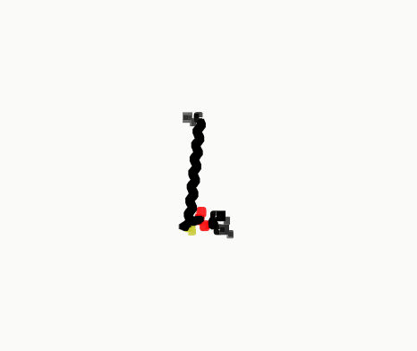 CCCCCCCCCCCCCCCC1(C(=O)OC(C)C)CS1